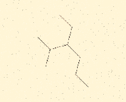 CCCC(CC)C(C)C